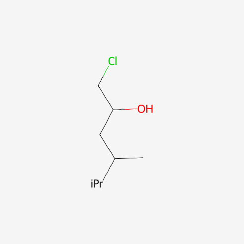 CC(C)C(C)CC(O)CCl